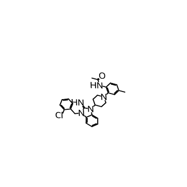 CC(=O)Nc1ccc(C)cc1N1CCC(n2c(=N)n(Cc3ccccc3Cl)c3ccccc32)CC1